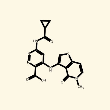 Cn1ccc2scc(Nc3cc(NC(=O)C4CC4)nnc3C(=O)O)c2c1=O